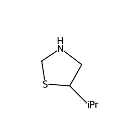 CC(C)C1CNCS1